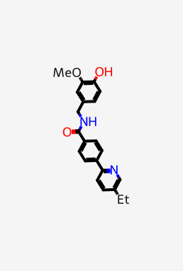 CCc1ccc(-c2ccc(C(=O)NCc3ccc(O)c(OC)c3)cc2)nc1